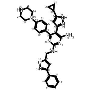 Nc1nc(NCc2cc(-c3ccccc3)no2)nc(-c2ccc(N3CCNCC3)cc2)c1-c1cc(C2CC2)[nH]n1